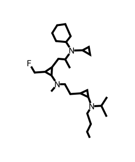 CCCCN(C(C)C)C1CC1CCN(C)C1C(CF)C1CC(C)N(C1CCCCC1)C1CC1